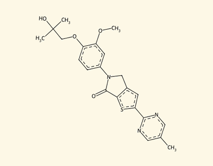 COc1cc(N2Cc3cc(-c4ncc(C)cn4)sc3C2=O)ccc1OCC(C)(C)O